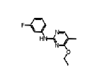 CCOc1nc(Nc2cccc(F)c2)ncc1C